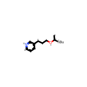 [CH2]C(CCCC)OCCCc1cccnc1